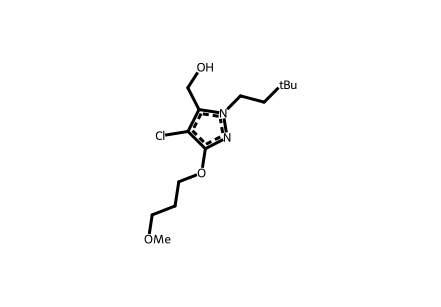 COCCCOc1nn(CCC(C)(C)C)c(CO)c1Cl